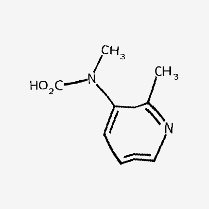 Cc1ncccc1N(C)C(=O)O